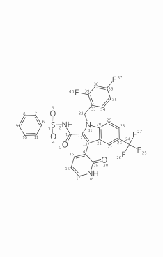 O=C(NS(=O)(=O)c1ccccc1)c1c(-c2ccc[nH]c2=O)c2cc(C(F)(F)F)ccc2n1Cc1ccc(F)cc1F